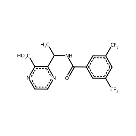 CC(NC(=O)c1cc(C(F)(F)F)cc(C(F)(F)F)c1)c1nccnc1C(=O)O